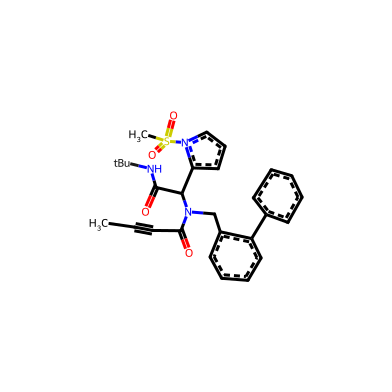 CC#CC(=O)N(Cc1ccccc1-c1ccccc1)C(C(=O)NC(C)(C)C)c1cccn1S(C)(=O)=O